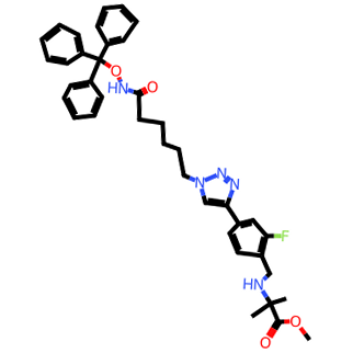 COC(=O)C(C)(C)NCc1ccc(-c2cn(CCCCCC(=O)NOC(c3ccccc3)(c3ccccc3)c3ccccc3)nn2)cc1F